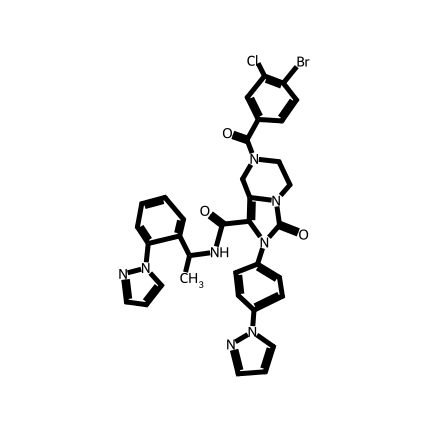 CC(NC(=O)c1c2n(c(=O)n1-c1ccc(-n3cccn3)cc1)CCN(C(=O)c1ccc(Br)c(Cl)c1)C2)c1ccccc1-n1cccn1